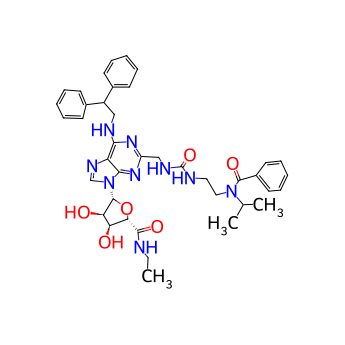 CCNC(=O)[C@H]1O[C@@H](n2cnc3c(NCC(c4ccccc4)c4ccccc4)nc(CNC(=O)NCCN(C(=O)c4ccccc4)C(C)C)nc32)[C@H](O)[C@@H]1O